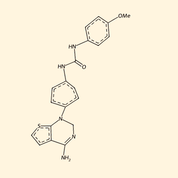 COc1ccc(NC(=O)Nc2ccc(N3CN=C(N)c4ccsc43)cc2)cc1